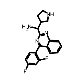 NC(c1nc(-c2ccc(F)cc2F)c2ccccc2n1)C1CCNC1